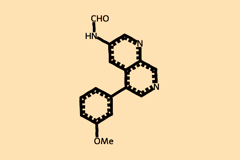 COc1cccc(-c2cncc3ncc(NC=O)cc23)c1